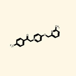 Cc1cccc(COc2cc[n+](CC(=O)c3ccc(C(F)(F)F)cc3)cc2)n1